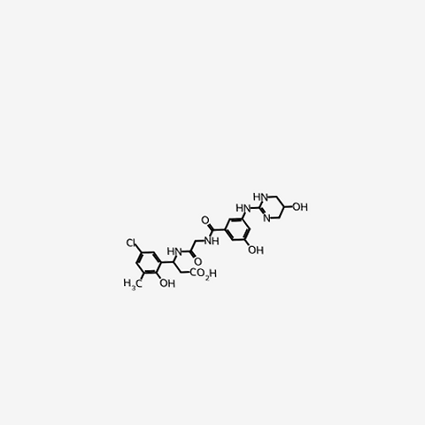 Cc1cc(Cl)cc(C(CC(=O)O)NC(=O)CNC(=O)c2cc(O)cc(NC3=NCC(O)CN3)c2)c1O